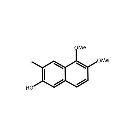 COc1ccc2cc(O)c(I)cc2c1OC